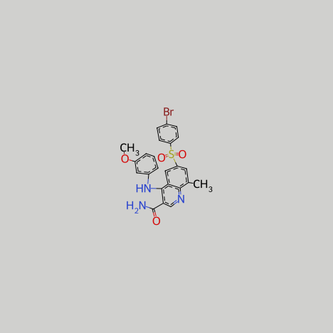 COc1cccc(Nc2c(C(N)=O)cnc3c(C)cc(S(=O)(=O)c4ccc(Br)cc4)cc23)c1